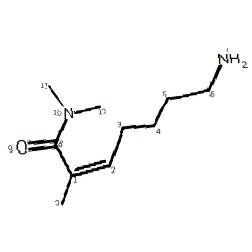 CC(=CCCCCN)C(=O)N(C)C